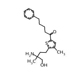 Cc1cc(C(=O)CCCCc2ccccc2)sc1CCC(C)(N)CO